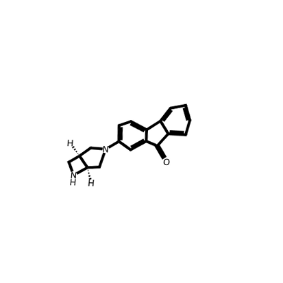 O=C1c2ccccc2-c2ccc(N3C[C@@H]4CN[C@@H]4C3)cc21